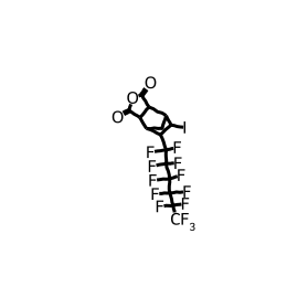 O=C1OC(=O)C2C3CC(C(I)C3C(F)(F)C(F)(F)C(F)(F)C(F)(F)C(F)(F)C(F)(F)F)C12